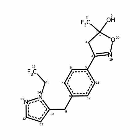 OC1(C(F)(F)F)CC(c2ccc(Cc3ccnn3CC(F)(F)F)cc2)=NO1